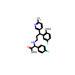 CNC(=O)C(NCCC(c1ccc(C(F)(F)F)nc1)c1cc(F)ccc1OC)c1ccc(F)cc1